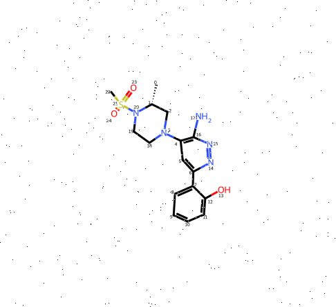 C[C@@H]1CN(c2cc(-c3ccccc3O)nnc2N)CCN1S(C)(=O)=O